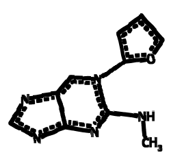 CNc1nc2ncnc-2cn1-c1ccco1